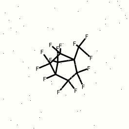 FC(F)(F)C12C(F)(F)C(F)(F)C(F)(C(F)(F)C1(F)F)C2(F)F